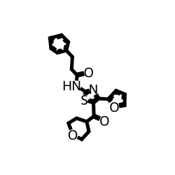 O=C(CCc1ccccc1)Nc1nc(-c2ccco2)c(C(=O)C2CCOCC2)s1